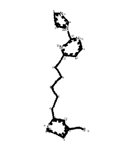 Fc1cccc(CCCCCc2ccnc(-n3ccnc3)n2)c1